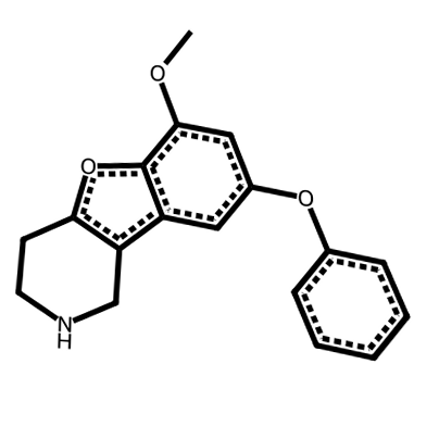 COc1cc(Oc2ccccc2)cc2c3c(oc12)CCNC3